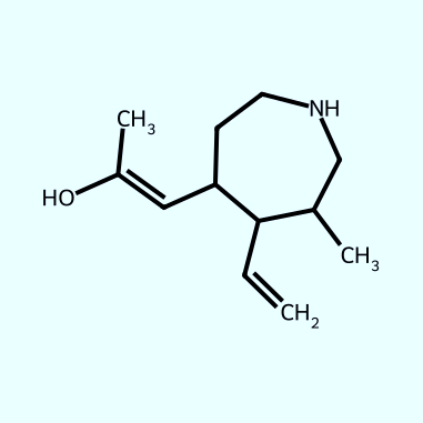 C=CC1C(C)CNCCC1/C=C(\C)O